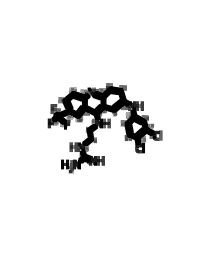 N=C(N)NCCNc1c2cc(Nc3ccc(Cl)c(Cl)c3)ccc2nc2ccc(C(F)(F)F)cc12